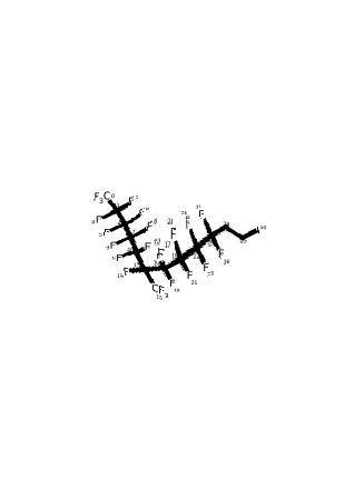 FC(F)(F)C(F)(F)C(F)(F)C(F)(F)C(F)(F)C(F)(C(F)(F)F)C(F)(F)C(F)(F)C(F)(F)C(F)(F)CCI